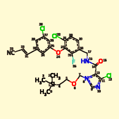 C[Si](C)(C)CCOCn1cnc(Cl)c1C(=O)NCc1ccc(Cl)c(Oc2cc(Cl)cc(/C=C/C#N)c2)c1F